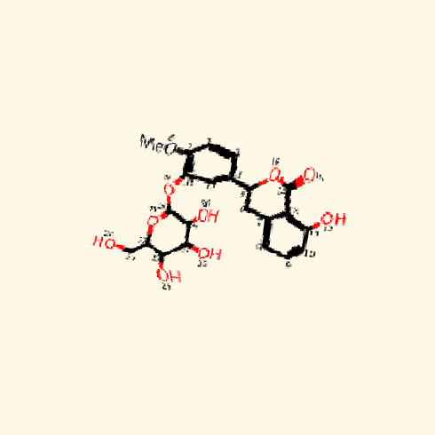 COc1ccc(C2Cc3cccc(O)c3C(=O)O2)cc1OC1OC(CO)C(O)C(O)C1O